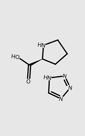 O=C(O)[C@@H]1CCCN1.c1nnn[nH]1